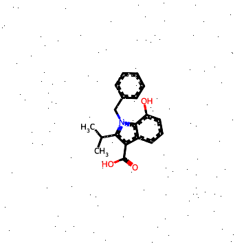 CC(C)c1c(C(=O)O)c2cccc(O)c2n1Cc1ccccc1